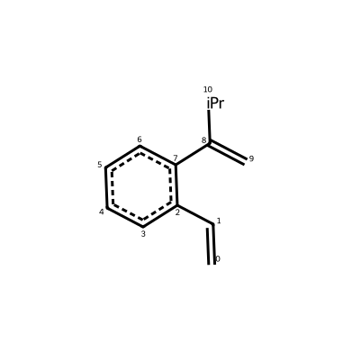 C=Cc1ccccc1C(=C)C(C)C